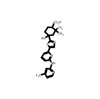 CC1(C)CC(O)(c2ncc(-c3cccc(Nc4cc(C(F)(F)F)ccn4)n3)s2)CCC1C(=O)O